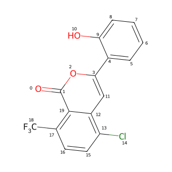 O=c1oc(-c2ccccc2O)cc2c(Cl)ccc(C(F)(F)F)c12